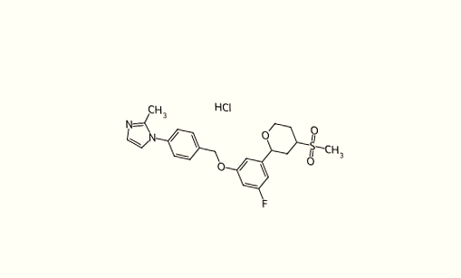 Cc1nccn1-c1ccc(COc2cc(F)cc(C3CC(S(C)(=O)=O)CCO3)c2)cc1.Cl